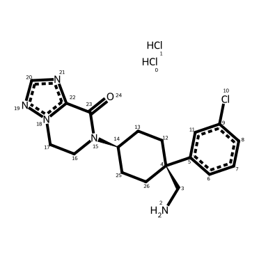 Cl.Cl.NC[C@]1(c2cccc(Cl)c2)CC[C@H](N2CCn3ncnc3C2=O)CC1